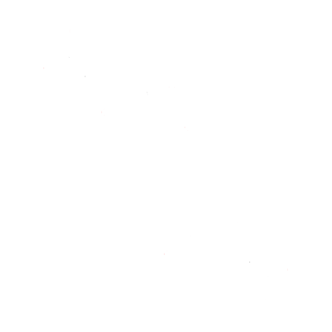 COC(=O)C(C)(C)c1cc(=O)c2c(OC)c(-c3ccc4oc(C(C)(C)C(=O)OC)cc(=O)c4c3OC)ccc2o1